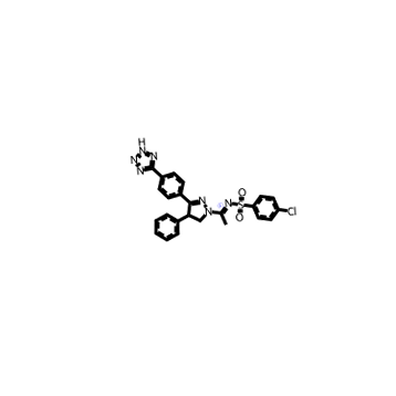 C/C(=N\S(=O)(=O)c1ccc(Cl)cc1)N1CC(c2ccccc2)C(c2ccc(-c3nn[nH]n3)cc2)=N1